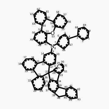 c1ccc(-c2ccc(N(c3ccc4c(c3)-c3ccccc3-c3ccccc3C43c4ccccc4-c4c3ccc3c4-c4ccccc4C3)c3cccc4c3Oc3ccccc3-c3ccccc3-4)cc2)cc1